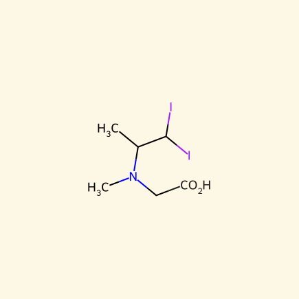 CC(C(I)I)N(C)CC(=O)O